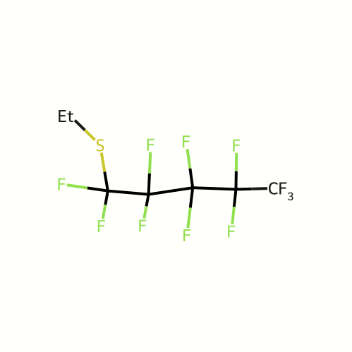 CCSC(F)(F)C(F)(F)C(F)(F)C(F)(F)C(F)(F)F